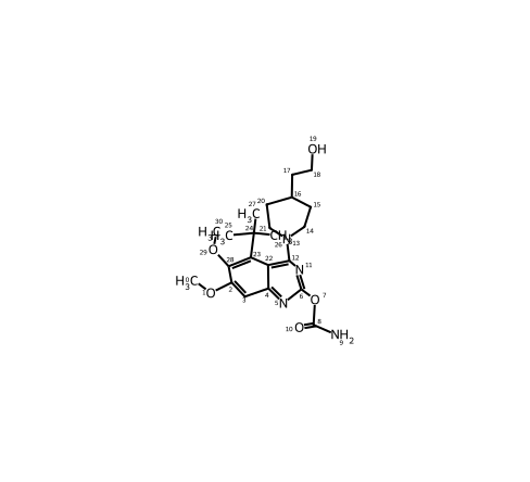 COc1cc2nc(OC(N)=O)nc(N3CCC(CCO)CC3)c2c(C(C)(C)C)c1OC